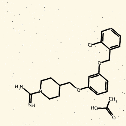 CC(=O)O.N=C(N)N1CCC(COc2cccc(OCc3ccccc3Cl)c2)CC1